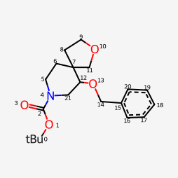 CC(C)(C)OC(=O)N1CCC2(CCOC2)C(OCc2ccccc2)C1